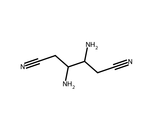 N#CCC(N)C(N)CC#N